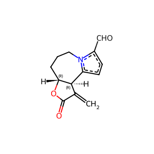 C=C1C(=O)O[C@@H]2CCCn3c(C=O)ccc3[C@@H]12